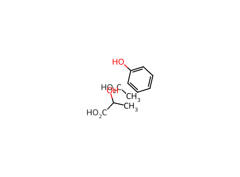 CC(=O)O.CC(O)C(=O)O.Oc1ccccc1